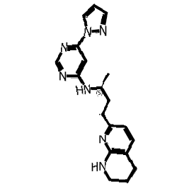 C[C@@H](C[CH]c1ccc2c(n1)NCCC2)Nc1cc(-n2cccn2)ncn1